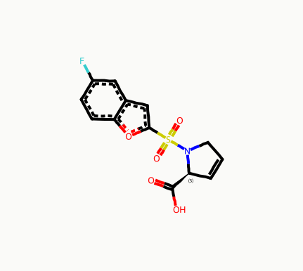 O=C(O)[C@@H]1C=CCN1S(=O)(=O)c1cc2cc(F)ccc2o1